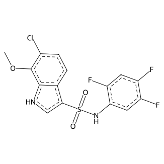 COc1c(Cl)ccc2c(S(=O)(=O)Nc3cc(F)c(F)cc3F)c[nH]c12